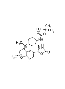 C[C@H]1CN([C@@H](C)C2CCC(NC(=O)OC(C)(C)C)CC2)c2cc(-c3n[nH]c(=O)o3)cc(F)c2O1